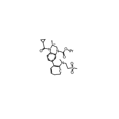 CC(C)OC(=O)N1C[C@H](C)N(C(=O)C2CC2)c2ccc(C3=C(N(C)CCS(C)(=O)=O)CCCC=C3)cc21